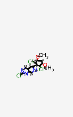 COc1cc(OC)c(Cl)c(-c2cc3cnc(Cl)nc3cn2)c1Cl